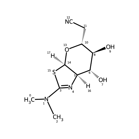 CN(C)C1=N[C@@H]2[C@@H](O)[C@H](O)[C@@H](CC#N)O[C@@H]2S1